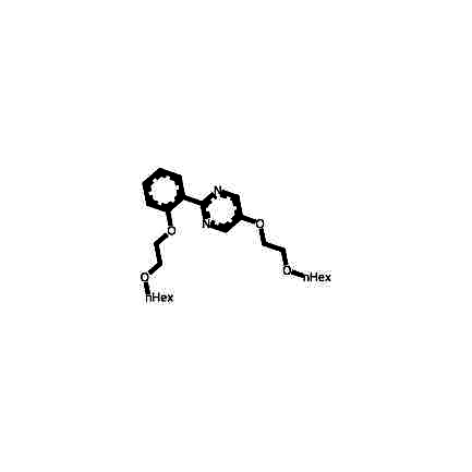 CCCCCCOCCOc1cnc(-c2ccccc2OCCOCCCCCC)nc1